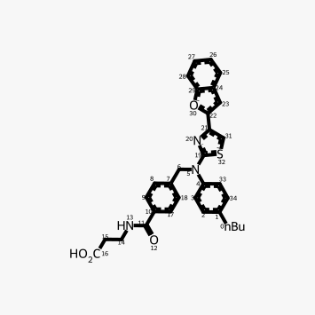 CCCCc1ccc(N(Cc2ccc(C(=O)NCCC(=O)O)cc2)c2nc(-c3cc4ccccc4o3)cs2)cc1